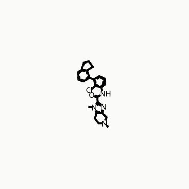 CN1CCc2c(nc(C(=O)Nc3cccc(-c4cccc5c4CCC5)c3Cl)n2C)C1